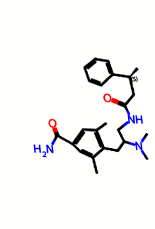 Cc1cc(C(N)=O)cc(C)c1CC(CNC(=O)C[C@H](C)c1ccccc1)N(C)C